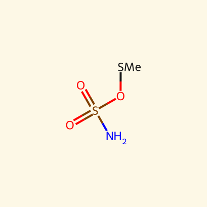 CSOS(N)(=O)=O